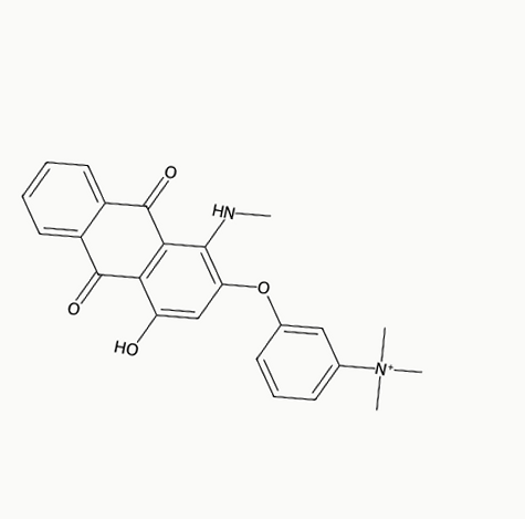 CNc1c(Oc2cccc([N+](C)(C)C)c2)cc(O)c2c1C(=O)c1ccccc1C2=O